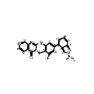 Cn1cc2c(-c3cc(F)c(Cn4cnc5cnccc5c4=O)c(F)c3)cccc2n1